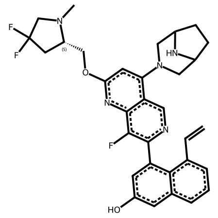 C=Cc1cccc2cc(O)cc(-c3ncc4c(N5CC6CCC(C5)N6)cc(OC[C@@H]5CC(F)(F)CN5C)nc4c3F)c12